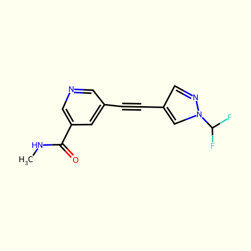 CNC(=O)c1cncc(C#Cc2cnn(C(F)F)c2)c1